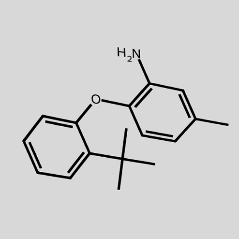 Cc1ccc(Oc2ccccc2C(C)(C)C)c(N)c1